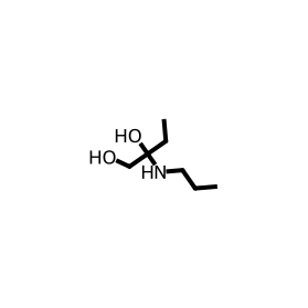 CCCNC(O)(CC)CO